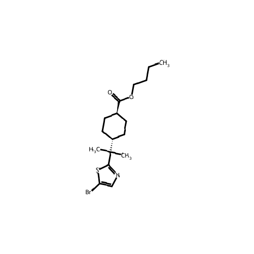 CCCCOC(=O)[C@H]1CC[C@H](C(C)(C)c2ncc(Br)s2)CC1